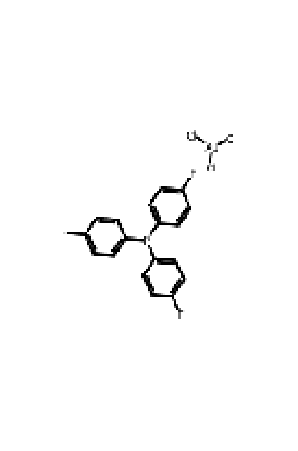 Fc1ccc(P(c2ccc(F)cc2)c2ccc(F)cc2)cc1.[Cl][Au]([Cl])[Cl]